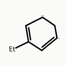 CCC1=C[C]C[C]=C1